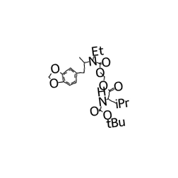 CCN(C(=O)OCOC(=O)C(NC(=O)OC(C)(C)C)C(C)C)C(C)Cc1ccc2c(c1)OCO2